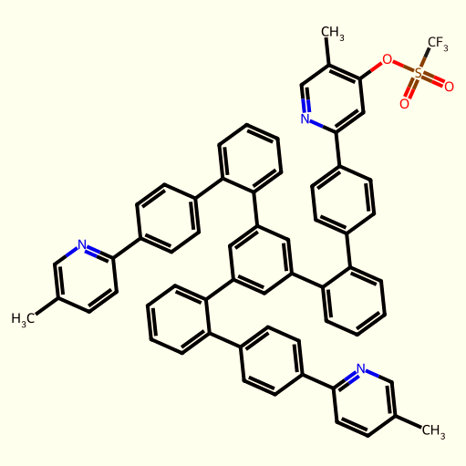 Cc1ccc(-c2ccc(-c3ccccc3-c3cc(-c4ccccc4-c4ccc(-c5ccc(C)cn5)cc4)cc(-c4ccccc4-c4ccc(-c5cc(OS(=O)(=O)C(F)(F)F)c(C)cn5)cc4)c3)cc2)nc1